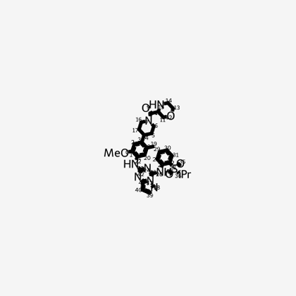 COc1cc(C2CCN(C(=O)C3COCCN3)CC2)c(C)cc1Nc1nc(Nc2ccccc2S(=O)(=O)C(C)C)n2nccc2n1